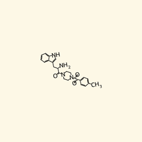 Cc1ccc(S(=O)(=O)N2CCN(C(=O)C(N)Cc3c[nH]c4ccccc34)CC2)cc1